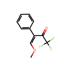 CO/C=C(\C(=O)C(F)(F)F)c1ccccc1